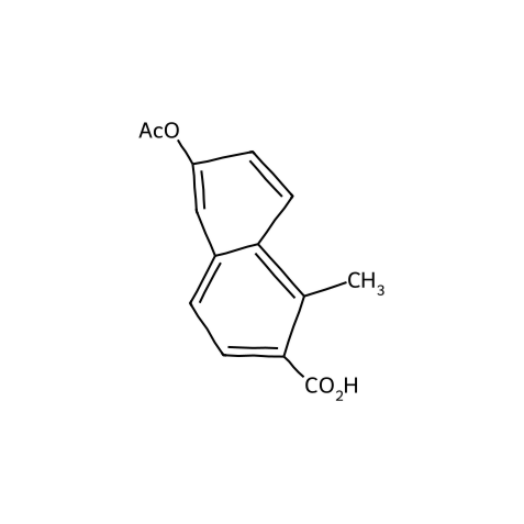 CC(=O)Oc1ccc2c(C)c(C(=O)O)ccc2c1